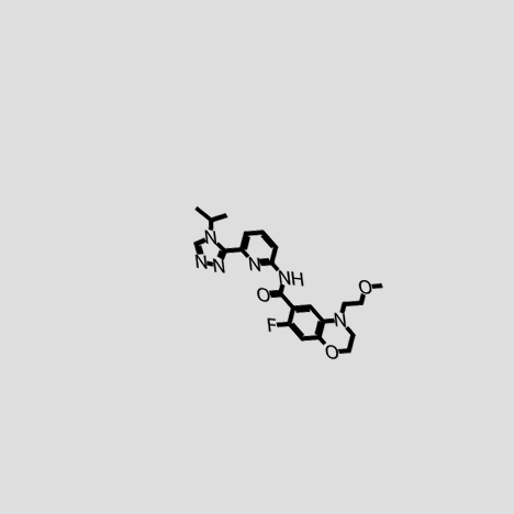 COCCN1CCOc2cc(F)c(C(=O)Nc3cccc(-c4nncn4C(C)C)n3)cc21